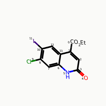 CCOC(=O)c1cc(=O)[nH]c2cc(Cl)c(I)cc12